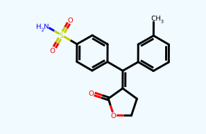 Cc1cccc(C(=C2CCOC2=O)c2ccc(S(N)(=O)=O)cc2)c1